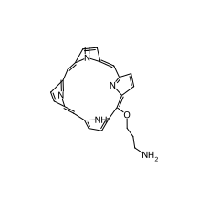 NCCCOc1c2nc(cc3ccc(cc4nc(cc5ccc1[nH]5)C=C4)[nH]3)C=C2